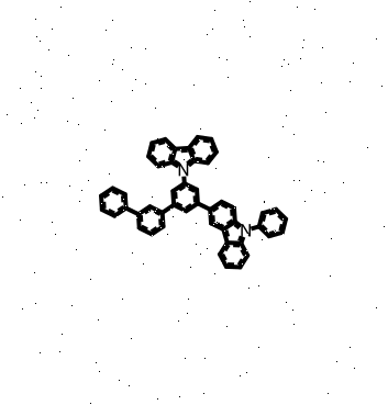 c1ccc(-c2cccc(-c3cc(-c4ccc5c(c4)c4ccccc4n5-c4ccccc4)cc(-n4c5ccccc5c5ccccc54)c3)c2)cc1